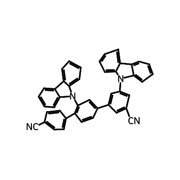 N#Cc1ccc(-c2ccc(-c3cc(C#N)cc(-n4c5ccccc5c5ccccc54)c3)cc2-n2c3ccccc3c3ccccc32)cc1